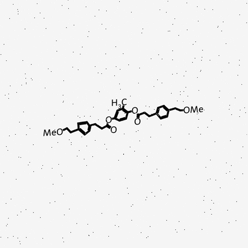 COCCc1ccc(CCC(=O)Oc2ccc(OC(=O)CCc3ccc(CCOC)cc3)c(C)c2)cc1